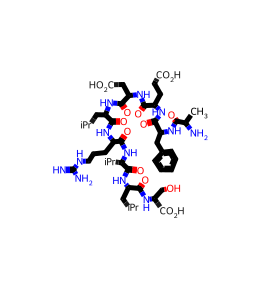 CC(C)CC(NC(=O)C(CC(=O)O)NC(=O)C(CCC(=O)O)NC(=O)C(Cc1ccccc1)NC(=O)C(C)N)C(=O)NC(CCCNC(=N)N)C(=O)NC(C(=O)NC(CC(C)C)C(=O)NC(CO)C(=O)O)C(C)C